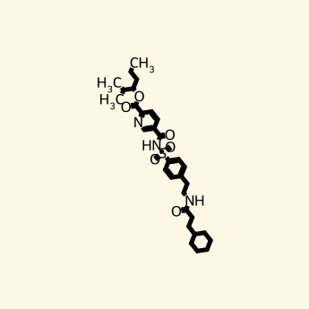 CCCC(OC(=O)c1ccc(C(=O)NS(=O)(=O)c2ccc(CCNC(=O)CCC3CCCCC3)cc2)cn1)C(C)C